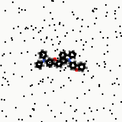 c1ccc(-c2ccccc2N(c2ccc3c(ccc4c5ccc(N(c6ccccc6)c6ccccc6)cc5oc34)c2)c2ccc3oc4ccccc4c3c2)cc1